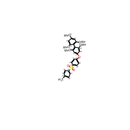 COc1cc(OC)c(-c2c(OC)cc(Oc3ccc(S(=O)(=O)c4ccc(C)cc4)cc3)cc2OC)c(OC)c1